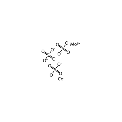 O=S(=O)([O-])[O-].O=S(=O)([O-])[O-].O=S(=O)([O-])[O-].[Co].[Mo+6]